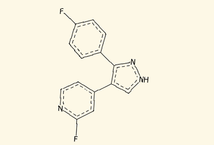 Fc1ccc(-c2n[nH]cc2-c2ccnc(F)c2)cc1